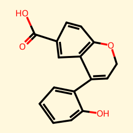 O=C(O)c1ccc2c(c1)C(c1ccccc1O)=CCO2